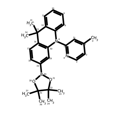 Cc1ccnc(N2c3ccccc3C(C)(C)c3ccc(B4OC(C)(C)C(C)(C)O4)cc32)c1